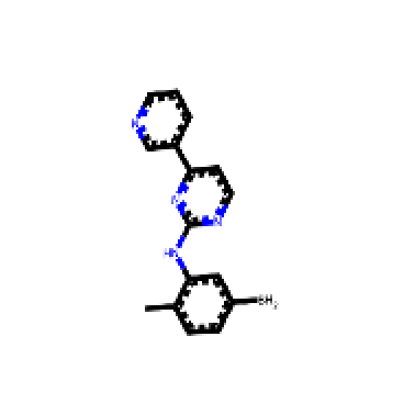 Bc1ccc(C)c(Nc2nccc(-c3cccnc3)n2)c1